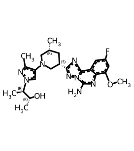 COc1cc(F)cc2c1nc(N)n1nc([C@H]3C[C@@H](C)CN(c4cn([C@H](C)[C@@H](C)O)nc4C)C3)nc21